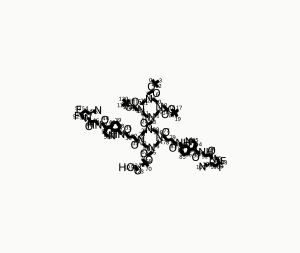 CC(C)(C)OC(=O)CN1CCN(CC(=O)OC(C)(C)C)CCN(CC(=O)N2CCN(C(=O)CCC(=O)Nc3cccc4c(C(=O)NCC(=O)N5CC(F)(F)C[C@H]5C#N)ccnc34)CCN(CC(=O)OC(C)(C)C)CCN(C(=O)CCC(=O)Nc3cccc4c(C(=O)NCC(=O)N5CC(F)(F)C[C@H]5C#N)ccnc34)CC2)CCN(CC(=O)OC(C)(C)C)CC1.O=CO